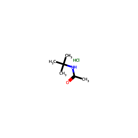 CC(=O)NC(C)(C)C.Cl